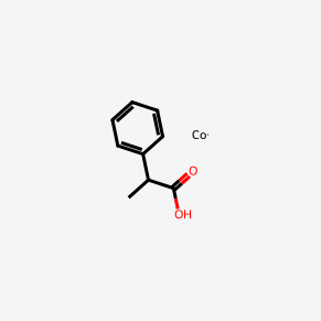 CC(C(=O)O)c1ccccc1.[Co]